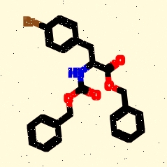 O=C(NC(Cc1ccc(Br)cc1)C(=O)OCc1ccccc1)OCc1ccccc1